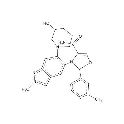 Cc1cc(C2OC=C(C(N)=O)N2c2cc3cn(C)nc3cc2N2CCCC(O)C2)ccn1